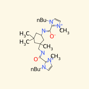 CCCCn1cc[n+](C)c1/C([O-])=N/CC1(C)CC(/N=C(\[O-])c2n(CCCC)cc[n+]2C)CC(C)(C)C1